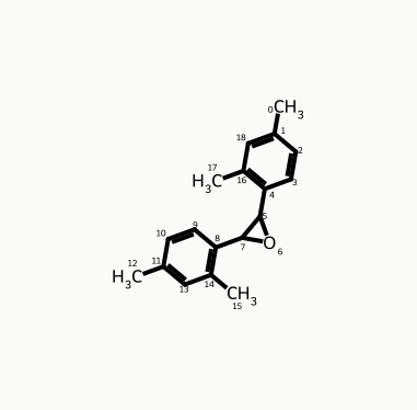 Cc1ccc(C2OC2c2ccc(C)cc2C)c(C)c1